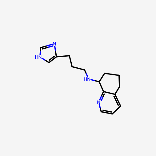 c1cnc2c(c1)CCCC2NCCCc1c[nH]cn1